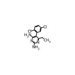 CCc1nc(N)nc(N)c1-c1cc(Cl)ccc1Cl